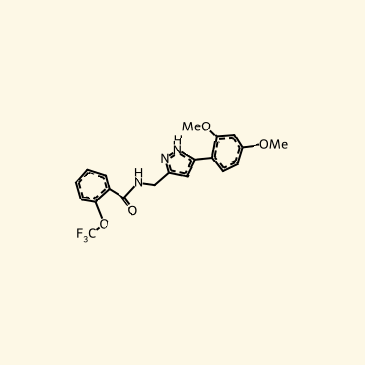 COc1ccc(-c2cc(CNC(=O)c3ccccc3OC(F)(F)F)n[nH]2)c(OC)c1